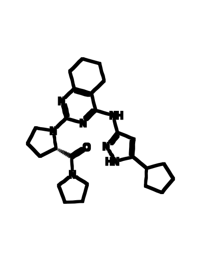 O=C([C@@H]1CCCN1c1nc2c(c(Nc3cc(C4CCCC4)[nH]n3)n1)CCCC2)N1CCCC1